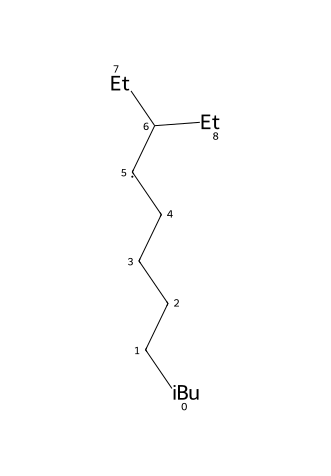 CCC(C)CCCC[CH]C(CC)CC